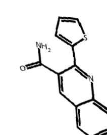 NC(=O)c1cc2ccccc2nc1-c1cccs1